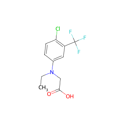 CCN(CC(=O)O)c1ccc(Cl)c(C(F)(F)F)c1